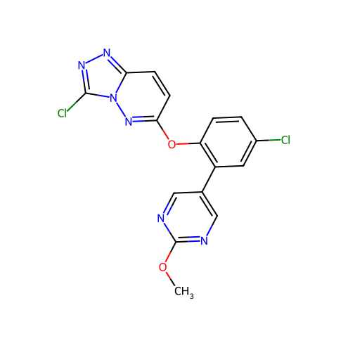 COc1ncc(-c2cc(Cl)ccc2Oc2ccc3nnc(Cl)n3n2)cn1